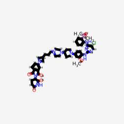 COc1cc(N2CCC(N3CCN(CCCC4CN(c5ccc6c(c5)C(=O)N(C5CCC(=O)NC5=O)C6=O)C4)CC3)CC2)ccc1Nc1ncc(Cl)c(Nc2ccccc2P(C)(C)=O)n1